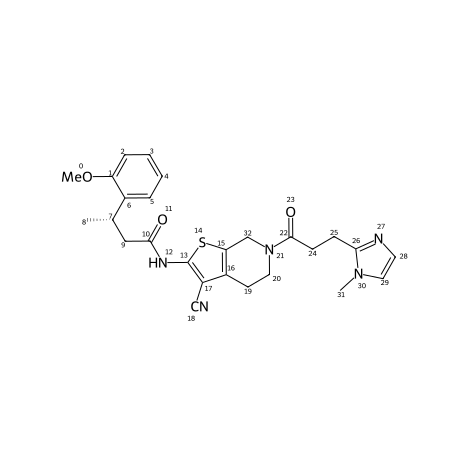 COc1ccccc1[C@@H](C)CC(=O)Nc1sc2c(c1C#N)CCN(C(=O)CCc1nccn1C)C2